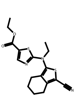 CCOC(=O)c1cnc(N(CC)c2sc(C#N)c3c2CCCC3)s1